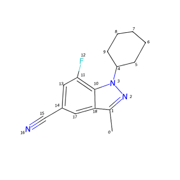 Cc1nn(C2CCCCC2)c2c(F)cc(C#N)cc12